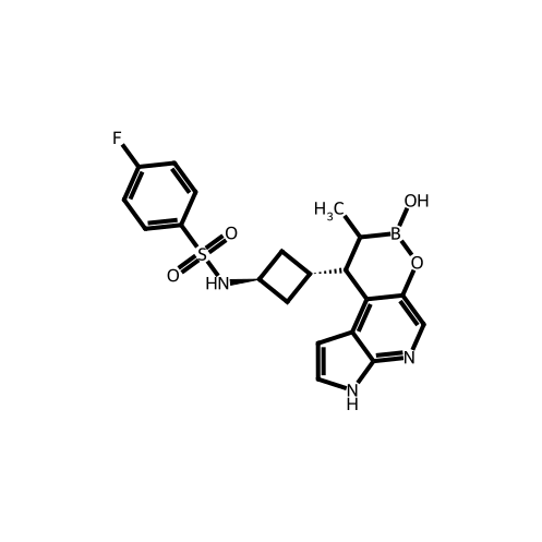 CC1B(O)Oc2cnc3[nH]ccc3c2C1[C@H]1C[C@H](NS(=O)(=O)c2ccc(F)cc2)C1